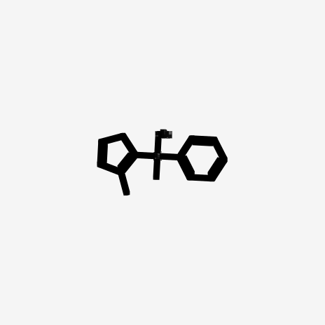 CCCC[Si](C)(C1=C(C)C=CC1)c1ccccc1